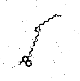 CCCCCCCCCCCCCCCCn1cc[n+](CCOCCOCCOc2ccc(Cl)c3cccnc23)c1